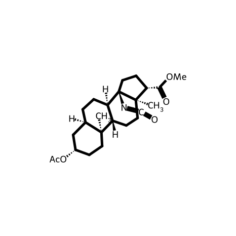 COC(=O)[C@H]1CC[C@@]2(N=C=O)[C@@H]3CC[C@@H]4C[C@@H](OC(C)=O)CC[C@]4(C)[C@H]3CC[C@]12C